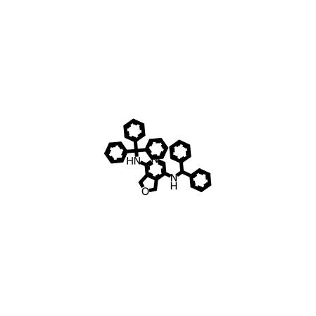 c1ccc(C(Nc2cnc(NC(c3ccccc3)(c3ccccc3)c3ccccc3)c3c2COC3)c2ccccc2)cc1